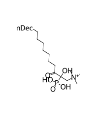 CCCCCCCCCCCCCCCCCC(=O)C(O)(C[N+](C)(C)C)P(=O)(O)O